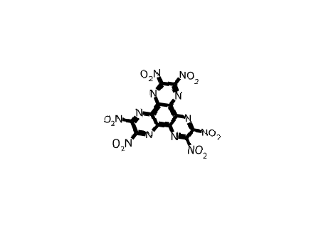 O=[N+]([O-])c1nc2c3nc([N+](=O)[O-])c([N+](=O)[O-])nc3c3nc([N+](=O)[O-])c([N+](=O)[O-])nc3c2nc1[N+](=O)[O-]